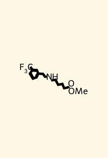 COC(=O)CCCCCNCCc1cccc(C(F)(F)F)c1